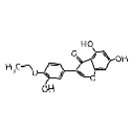 CCOc1ccc(-c2coc3cc(O)cc(O)c3c2=O)cc1O